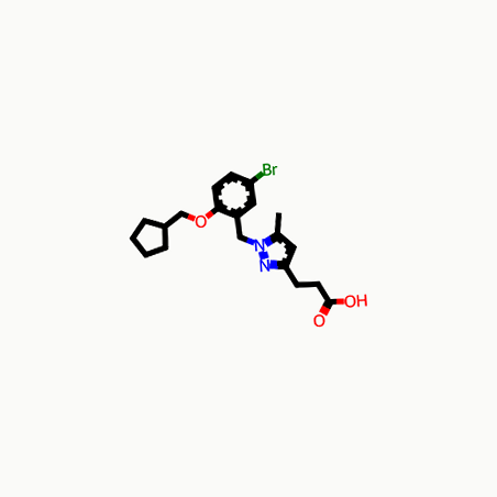 Cc1cc(CCC(=O)O)nn1Cc1cc(Br)ccc1OCC1CCCC1